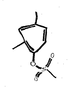 Cc1ccc(OS(C)(=O)=O)c(C)c1